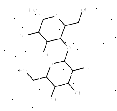 OCC1OC(OC2C(CO)O[C@@H](O)C(O)C2O)C(O)C(O)C1O